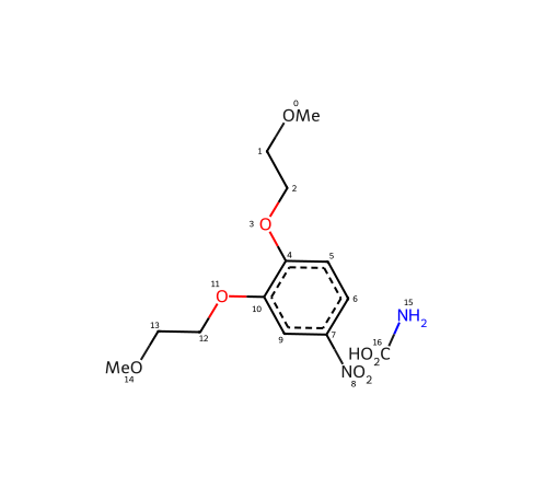 COCCOc1ccc([N+](=O)[O-])cc1OCCOC.NC(=O)O